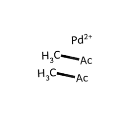 CC(C)=O.CC(C)=O.[Pd+2]